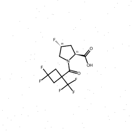 O=C(O)[C@@H]1C[C@@H](F)CN1C(=O)C1(C(F)(F)F)CC(F)(F)C1